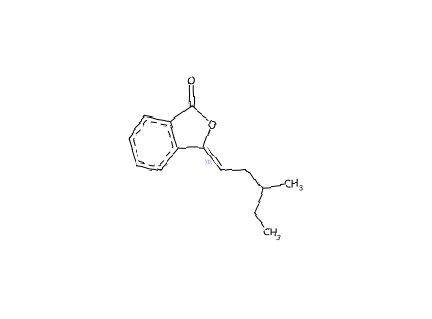 CCC(C)C/C=C1\OC(=O)c2ccccc21